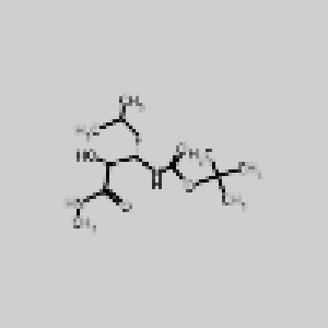 CNC(=O)C(O)[C@H](CC(C)C)NC(=O)OC(C)(C)C